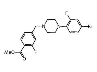 COC(=O)c1ccc(CN2CCN(c3ccc(Br)cc3F)CC2)cc1F